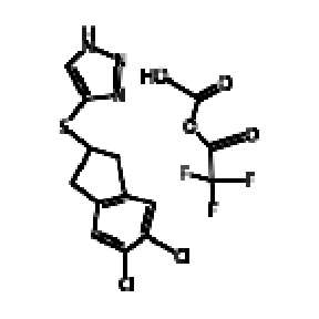 Clc1cc2c(cc1Cl)CC(Sc1c[nH]nn1)C2.O=C(O)OC(=O)C(F)(F)F